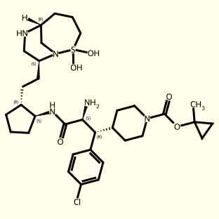 CC1(OC(=O)N2CCC([C@H](c3ccc(Cl)cc3)[C@H](N)C(=O)N[C@H]3CCC[C@@H]3CC[C@H]3CN[C@@H]4CCCS(O)(O)N3C4)CC2)CC1